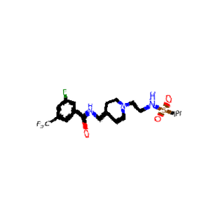 CC(C)S(=O)(=O)NCCN1CCC(CNC(=O)c2cc(F)cc(C(F)(F)F)c2)CC1